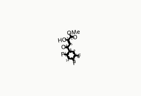 COC(=O)/C(O)=C/C(=O)c1cc(F)c(F)cc1F